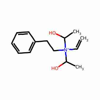 C=C[N+](CCc1ccccc1)(C(C)O)C(C)O